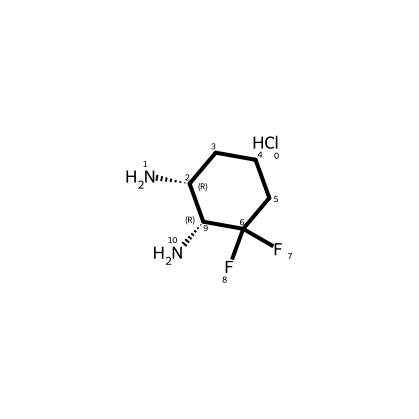 Cl.N[C@@H]1CCCC(F)(F)[C@@H]1N